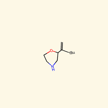 C=C(C1CNCCO1)C(C)(C)C